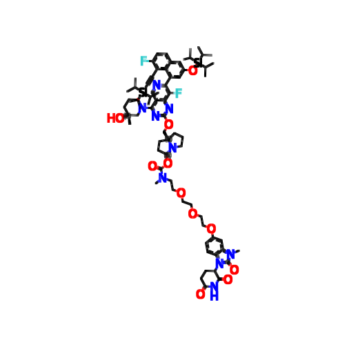 CC(C)[Si](C#Cc1c(F)ccc2cc(O[Si](C(C)C)(C(C)C)C(C)C)cc(-c3ncc4c(N5CCC[C@@](C)(O)C5)nc(OC[C@@]56CCCN5[C@@H](OC(=O)N(C)CCOCCOCCOc5ccc7c(c5)n(C)c(=O)n7C5CCC(=O)NC5=O)CC6)nc4c3F)c12)(C(C)C)C(C)C